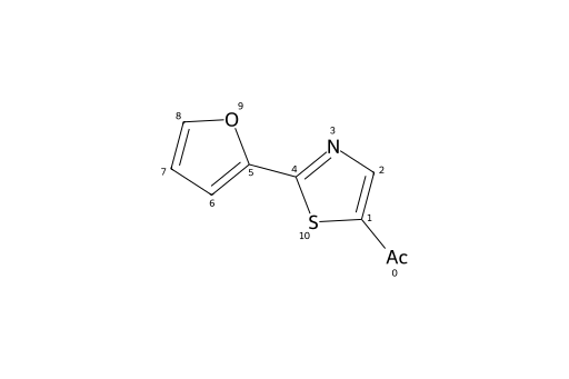 CC(=O)c1cnc(-c2ccco2)s1